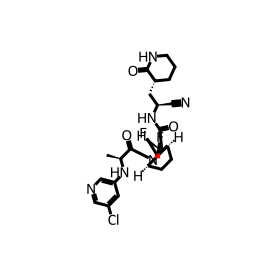 C[C@H](Nc1cncc(Cl)c1)C(=O)N1[C@@H]2CC[C@H]([C@H]1C(=O)N[C@H](C#N)C[C@H]1CCCNC1=O)C(F)(F)C2